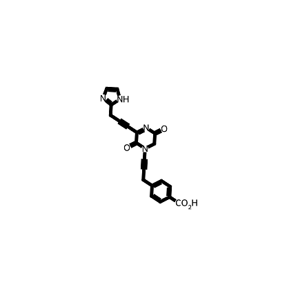 O=C1CN(C#CCc2ccc(C(=O)O)cc2)C(=O)C(C#CCc2ncc[nH]2)=N1